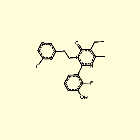 CCc1c(C)nc(-c2cccc(O)c2F)n(CCc2cccc(F)c2)c1=O